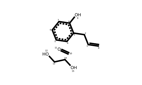 C=CCc1ccccc1O.C=O.OCCO